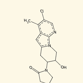 Cc1c(Cl)cnc2c1cc1n2CC(O)C(N2CCCC2=O)C1